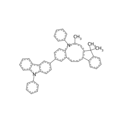 Cc1cc2c(ccc3cc(-c4ccc5c(c4)c4ccccc4n5-c4ccccc4)ccc3n1-c1ccccc1)-c1ccccc1C2(C)C